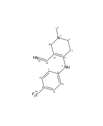 CN1CCC(Nc2ccc(C(F)(F)F)cc2)=C(C=N)C1